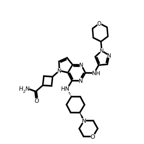 NC(=O)C1CC(n2ccc3nc(Nc4cnn(C5CCOCC5)c4)nc(N[C@H]4CC[C@H](N5CCOCC5)CC4)c32)C1